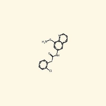 NSc1cc(NC(=O)Cc2ccccc2Cl)cc2cccnc12